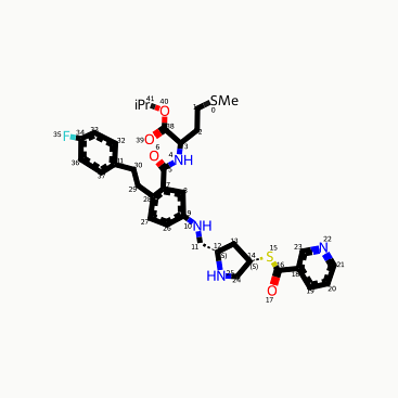 CSCCC(NC(=O)c1cc(NC[C@@H]2C[C@H](SC(=O)c3cccnc3)CN2)ccc1CCc1ccc(F)cc1)C(=O)OC(C)C